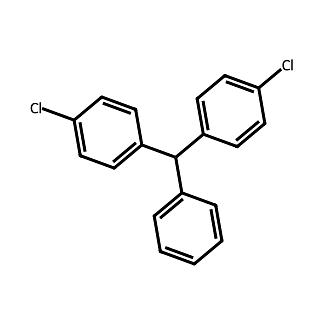 Clc1ccc(C(c2ccccc2)c2ccc(Cl)cc2)cc1